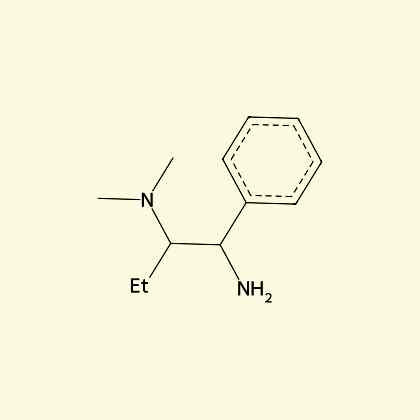 CCC(C(N)c1ccccc1)N(C)C